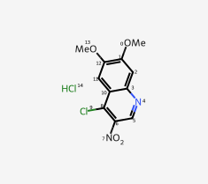 COc1cc2ncc([N+](=O)[O-])c(Cl)c2cc1OC.Cl